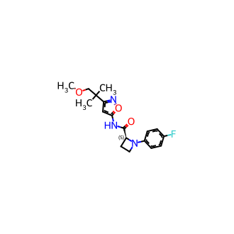 COCC(C)(C)c1cc(NC(=O)[C@@H]2CCN2c2ccc(F)cc2)on1